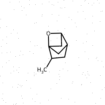 CC1CC2CC13CC2O3